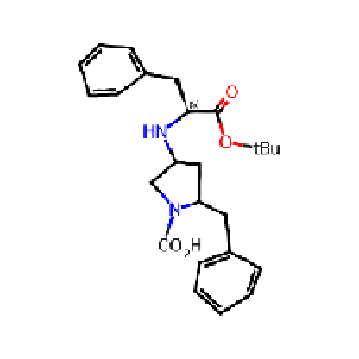 CC(C)(C)OC(=O)[C@H](Cc1ccccc1)NC1CC(Cc2ccccc2)N(C(=O)O)C1